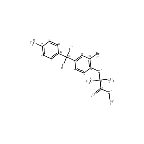 CC(C)OC(=O)C(C)(C)Oc1ccc(C(F)(F)c2ccc(C(F)(F)F)cc2)cc1Br